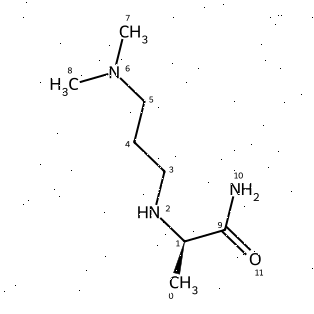 C[C@@H](NCCCN(C)C)C(N)=O